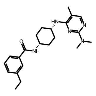 CCc1cccc(C(=O)N[C@H]2CC[C@@H](Nc3nc(N(C)C)ncc3C)CC2)c1